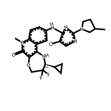 CC1CCN(c2ncc(Cl)c(Nc3ccc4c(c3)c3c(c(=O)n4C)OCC(F)(F)[C@H](C4CC4)N3)n2)C1